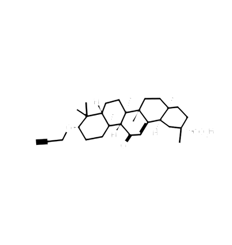 C#CCO[C@H]1CC[C@]2(C)[C@H]3C(=O)C=C4[C@@H]5C[C@@](C)(C(=O)O)CC[C@]5(C)CC[C@@]4(C)[C@]3(C)CC[C@H]2C1(C)C